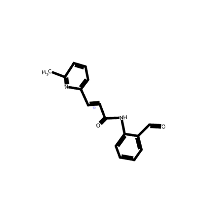 Cc1cccc(/C=C/C(=O)Nc2ccccc2C=O)n1